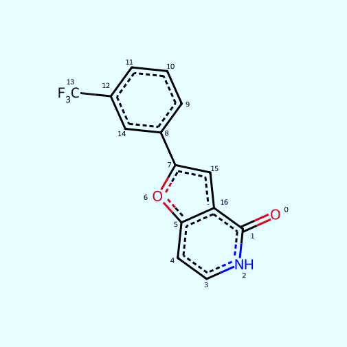 O=c1[nH]ccc2oc(-c3cccc(C(F)(F)F)c3)cc12